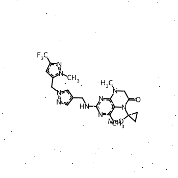 COC1(N2C(=O)CN(C)c3nc(NCc4cnn(Cc5cc(C(F)(F)F)nn5C)c4)nc(C)c32)CC1